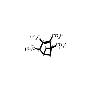 O=C(O)C1=C(C(=O)O)C2(C(=O)O)CC(C2)C1C(=O)O